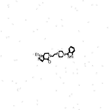 CCn1ncc2c1CCN(CCN1CCN(c3nsc4ccccc34)CC1)C2=O